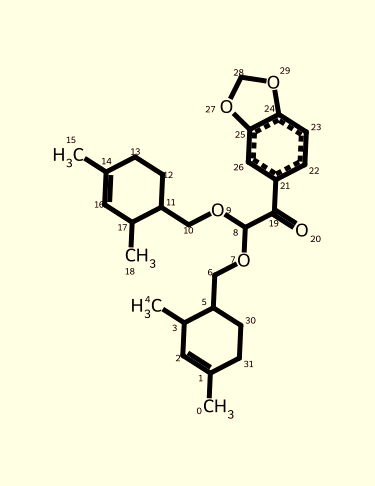 CC1=CC(C)C(COC(OCC2CCC(C)=CC2C)C(=O)c2ccc3c(c2)OCO3)CC1